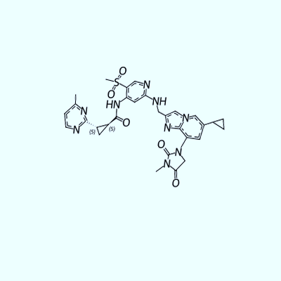 Cc1ccnc([C@H]2C[C@@H]2C(=O)Nc2cc(NCc3cn4cc(C5CC5)cc(N5CC(=O)N(C)C5=O)c4n3)ncc2S(C)(=O)=O)n1